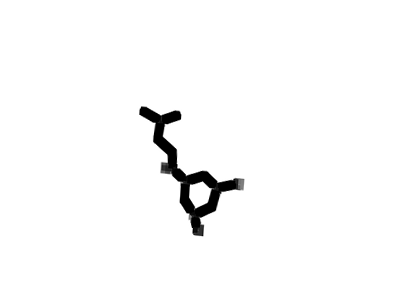 CN(C)CCNN1CN(Cl)CN(Cl)C1